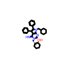 N=c1c2c(-c3ccccc3)c(-c3ccccc3)n(CC3CCCCC3)c2ncn1C[C@H]1CCCC[C@@H]1O